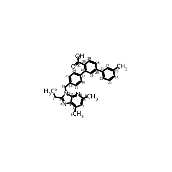 CCc1nc2c(C)cc(C)nc2n1Cc1ccc(-c2cc(-c3cccc(C)c3)ccc2C(=O)O)cc1